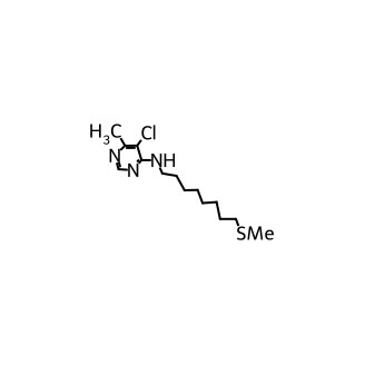 CSCCCCCCCCNc1ncnc(C)c1Cl